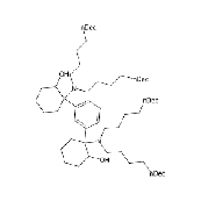 CCCCCCCCCCCCCCN(CCCCCCCCCCCCCC)C1(c2cccc(C3(N(CCCCCCCCCCCCCC)CCCCCCCCCCCCCC)CCCCC3O)c2)CCCCC1O